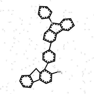 Nc1ccc2c(c1-c1ccc(-c3ccc4c(c3)c3ccccc3n4-c3ccccc3)cc1)Cc1ccccc1-2